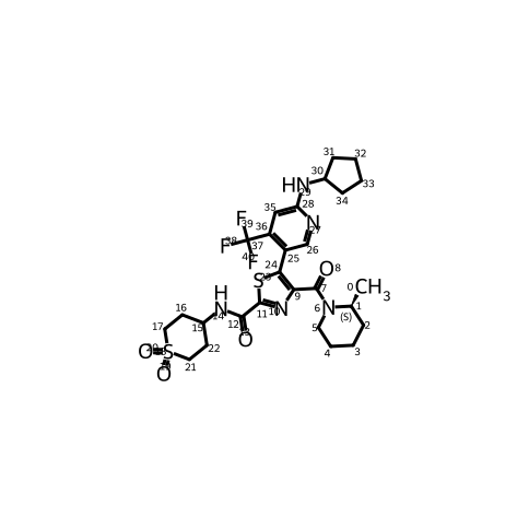 C[C@H]1CCCCN1C(=O)c1nc(C(=O)NC2CCS(=O)(=O)CC2)sc1-c1cnc(NC2CCCC2)cc1C(F)(F)F